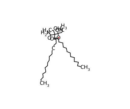 CCCCCCCCCCCCCCCC(=O)OC(O)(CC)C(CCCCCCCCCCCCCC)(C(N)=O)C(C)O